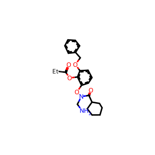 CCC(=O)Oc1c(OCc2ccccc2)cccc1ON(CN)C(=O)C1CCCCC1